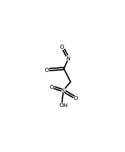 O=NC(=O)CS(=O)(=O)O